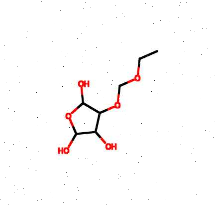 CCOCOC1C(O)OC(O)C1O